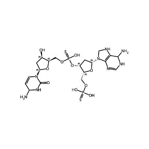 NC1C=CN([C@H]2C[C@@H](O)[C@@H](COP(O)(=S)O[C@@H]3C[C@H](N4CNC5=C4N=CNC5N)O[C@@H]3COP(O)(O)=S)O2)C(=O)N1